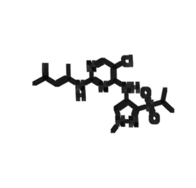 C=C(C)/C=C(\C)Nc1ncc(Cl)c(Nc2cn(C)nc2S(=O)(=O)C(C)C)n1